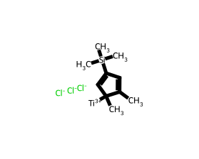 CC1=CC([Si](C)(C)C)=C[C]1(C)[Ti+3].[Cl-].[Cl-].[Cl-]